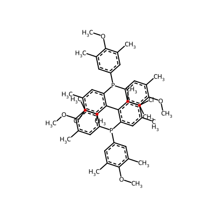 COc1c(C)cc(P(c2cc(C)c(OC)c(C)c2)c2cc(C)c(Cl)c(C)c2-c2c(P(c3cc(C)c(OC)c(C)c3)c3cc(C)c(OC)c(C)c3)cc(C)c(Cl)c2C)cc1C